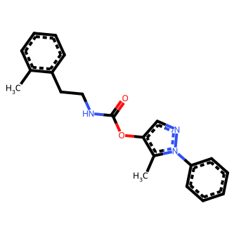 Cc1ccccc1CCNC(=O)Oc1cnn(-c2ccccc2)c1C